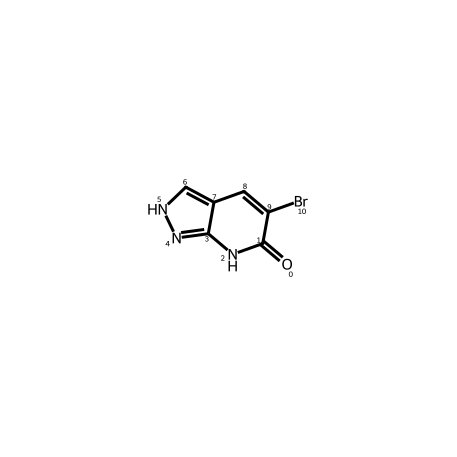 O=c1[nH]c2n[nH]cc2cc1Br